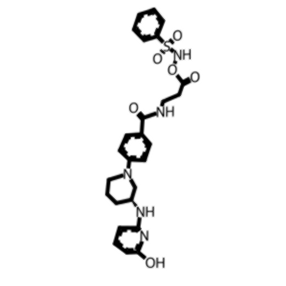 O=C(CCNC(=O)c1ccc(N2CCC[C@H](Nc3cccc(O)n3)C2)cc1)ONS(=O)(=O)c1ccccc1